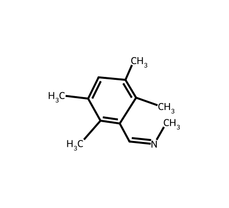 C/N=C\c1c(C)c(C)cc(C)c1C